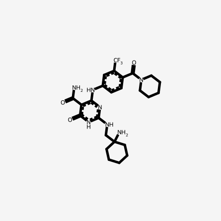 NC(=O)c1c(Nc2ccc(C(=O)N3CCCCC3)c(C(F)(F)F)c2)nc(NCC2(N)CCCCC2)[nH]c1=O